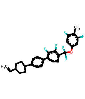 C=CC1CCC(c2ccc(-c3ccc(C(F)(F)Oc4cc(F)c(C(F)(F)F)c(F)c4)c(F)c3F)cc2)CC1